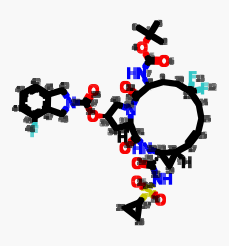 CC(C)(C)OC(=O)N[C@H]1CCC(F)(F)CC/C=C\[C@@H]2C[C@@]2(C(=O)NS(=O)(=O)C2CC2)NC(=O)[C@@H]2C[C@@H](OC(=O)N3Cc4cccc(F)c4C3)CN2C1=O